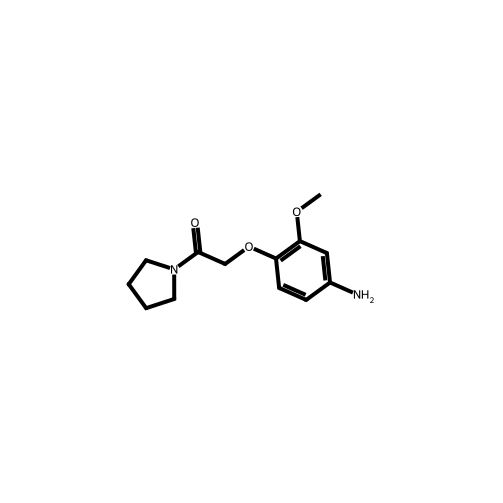 COc1cc(N)ccc1OCC(=O)N1CCCC1